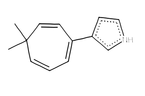 CC1(C)C=CC=C(c2cc[nH]c2)C=C1